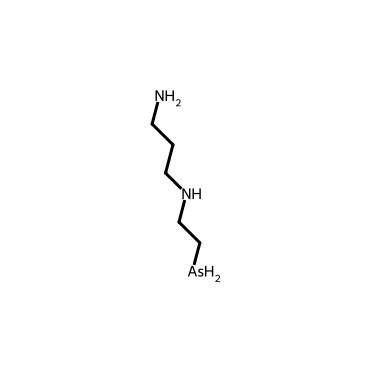 NCCCNCC[AsH2]